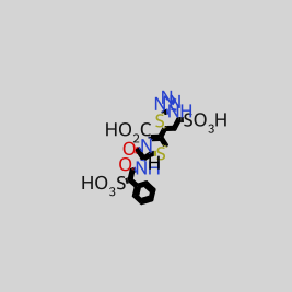 O=C(O)C1=C(C(CCS(=O)(=O)O)Sc2nnn[nH]2)CS[C@H]2C(NC(=O)C(c3ccccc3)S(=O)(=O)O)C(=O)N12